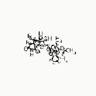 CC(C)OC(=O)[C@H](C)O[P@](=O)(OC[C@H]1OC(n2cc(F)c(=O)[nH]c2=O)C(O)(C#CCF)C1O)Oc1ccccc1